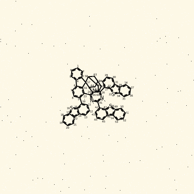 c1ccc2c(c1)-c1ccc(-c3cccc4c3sc3ccccc34)c(-c3nc(-c4cccc5c4sc4ccccc45)nc(-c4cccc5c4sc4ccccc45)n3)c1C21C2CC3CC(C2)CC1C3